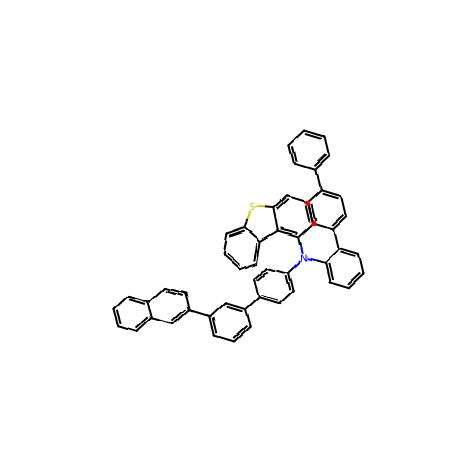 c1ccc(-c2ccc(-c3ccccc3N(c3ccc(-c4cccc(-c5ccc6ccccc6c5)c4)cc3)c3cccc4sc5ccccc5c34)cc2)cc1